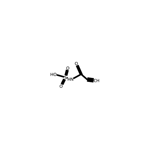 C#CC(=O)NS(=O)(=O)O